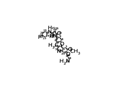 COc1cc2c(Oc3ccc(NC(=O)C4(C(=O)Nc5ccc(F)cc5)CC4)cc3C)ccnc2cc1OCCN